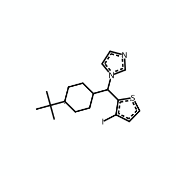 CC(C)(C)[C]1CCC(C(c2sccc2I)n2ccnc2)CC1